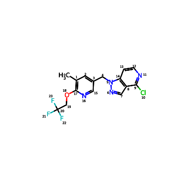 Cc1cc(Cn2ncc3c(Cl)nccc32)cnc1OCC(F)(F)F